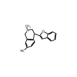 CN1Cc2cc(C#N)ccc2C(c2cc3ccccc3o2)C1